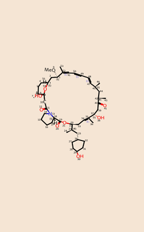 CO[C@H]1C[C@@H]2CC[C@@H](C)[C@](O)(CC(=O)N3CCCC[C@H]3C(=O)O[C@H]([C@H](C)C[C@H]3CC[C@H](O)CC3)C/C=C(\C)[C@@H](O)CC(=O)[C@H](C)C[C@H](C)/C=C/C=C/C=C/1C)O2